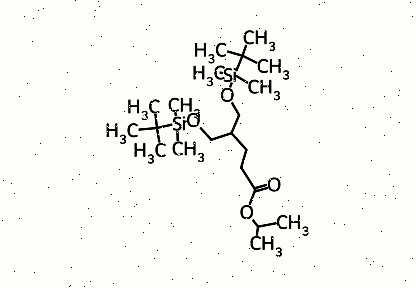 CC(C)OC(=O)CCC(CO[Si](C)(C)C(C)(C)C)CO[Si](C)(C)C(C)(C)C